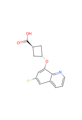 O=C(O)[C@H]1C[C@H](Oc2cc(F)cc3cccnc23)C1